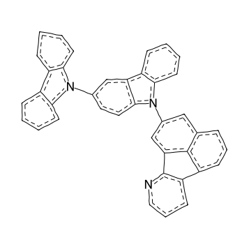 c1cnc2c(c1)-c1cccc3cc(-n4c5ccccc5c5cc(-n6c7ccccc7c7ccccc76)ccc54)cc-2c13